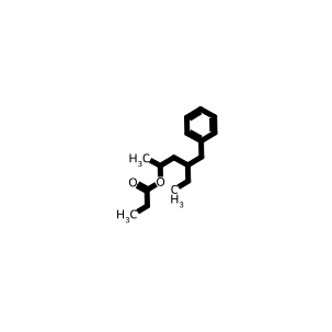 CCC(=O)OC(C)CC(CC)Cc1ccccc1